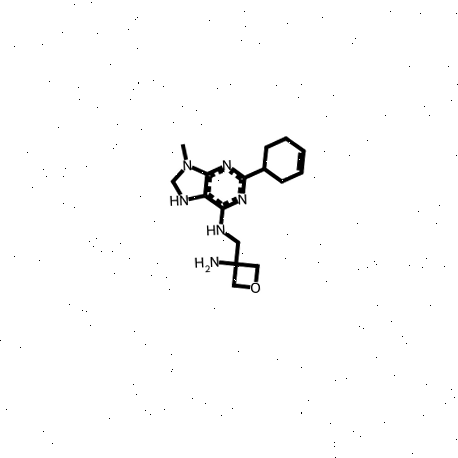 CN1CNc2c(NCC3(N)COC3)nc(C3CC=CCC3)nc21